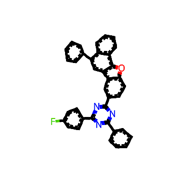 Fc1ccc(-c2nc(-c3ccccc3)nc(-c3ccc4oc5c6ccccc6c(-c6ccccc6)cc5c4c3)n2)cc1